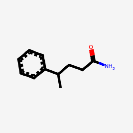 CC(CCC(N)=O)c1ccccc1